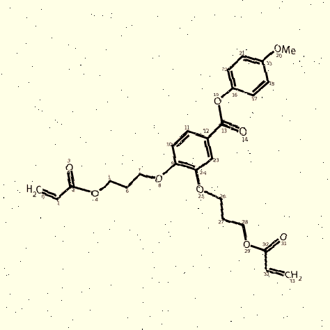 C=CC(=O)OCCCOc1ccc(C(=O)Oc2ccc(OC)cc2)cc1OCCCOC(=O)C=C